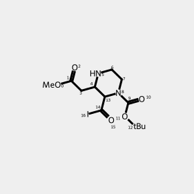 COC(=O)CC1NCCN(C(=O)OC(C)(C)C)C1C(=O)I